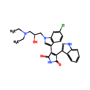 CCN(CC)CC(O)Cn1cc(C2=C(c3c[nH]c4ccccc34)C(=O)NC2=O)c2ccc(Cl)cc21